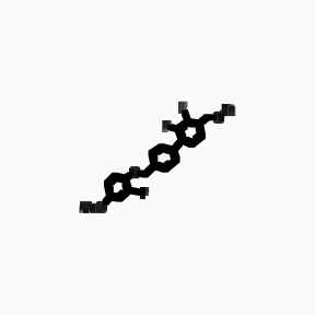 CCOCc1ccc(-c2ccc(COc3ccc(OC)cc3F)cc2)c(F)c1F